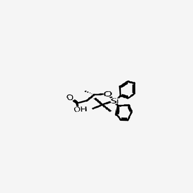 C[C@@H](CC(=O)O)O[Si](c1ccccc1)(c1ccccc1)C(C)(C)C